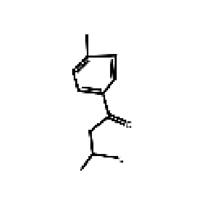 Cc1ccc(C(=O)CC(C)Cl)cc1